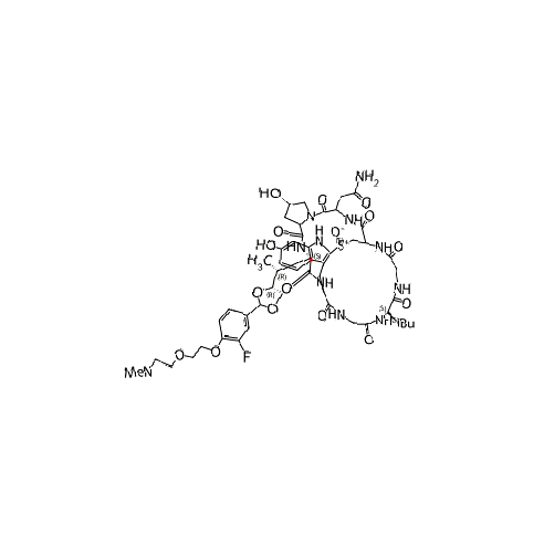 CC[C@H](C)[C@@H]1NC(=O)CNC(=O)C2Cc3c([nH]c4cc(O)ccc34)[S@+]([O-])CC(NC(=O)CNC1=O)C(=O)NC(CC(N)=O)C(=O)N1CC(O)CC1C(=O)N[C@@H]([C@@H](C)[C@@H]1COC(c3ccc(OCCOCCNC)c(F)c3)O1)C(=O)N2